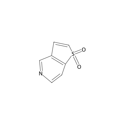 O=S1(=O)C=Cc2cnccc21